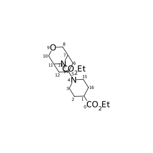 CCOC(=O)C1CCN(C2CC3COCC(C2)N3C(=O)OCC)CC1